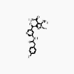 CC(C)n1nc(C(=O)c2cncc(NC(=O)Cc3ccc(Cl)cc3)c2)c(C(N)=O)c1N